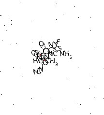 CC(O)CN1CC2CCC(C1)N2c1nc(OCCn2ccnc2)nc2c(F)c(-c3ncc(F)c4sc(N)c(C#N)c34)c3c(c12)COC3